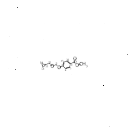 COC(=O)c1ccc(OCOCC2CC2)cc1